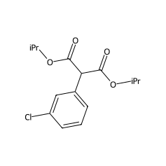 CC(C)OC(=O)C(C(=O)OC(C)C)c1cccc(Cl)c1